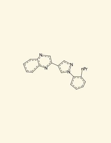 CCCc1ccccc1-n1cc(-c2cnc3ccccc3n2)cn1